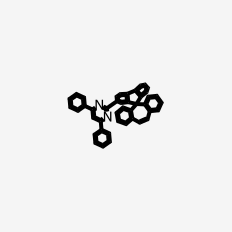 C1=Cc2ccccc2C2(c3ccccc31)c1ccccc1-c1ccc(-c3nc(-c4ccccc4)cc(-c4ccccc4)n3)cc12